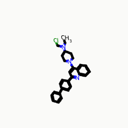 CCN(CCl)C1CCN(c2cc(-c3ccc(-c4ccccc4)cc3)nc3ccccc23)CC1